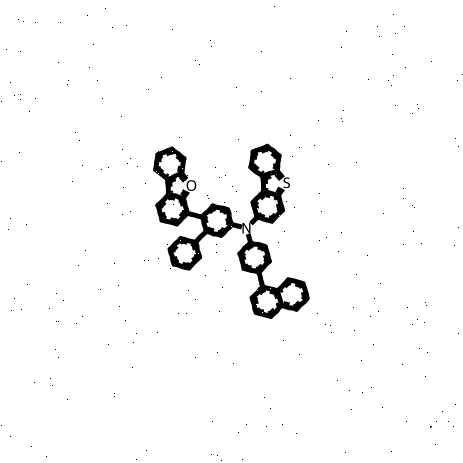 c1ccc(-c2cc(N(c3ccc(-c4cccc5ccccc45)cc3)c3ccc4sc5ccccc5c4c3)ccc2-c2cccc3c2oc2ccccc23)cc1